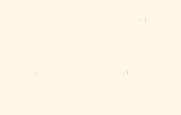 CC1CCC(C(C)CCO)C(O)C1